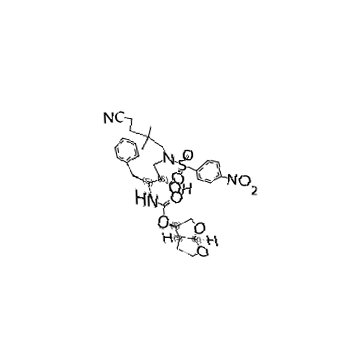 CC(C)(CCC#N)CN(C[C@H](O)[C@H](Cc1ccccc1)NC(=O)O[C@H]1CO[C@H]2OCC[C@H]21)S(=O)(=O)c1ccc([N+](=O)[O-])cc1